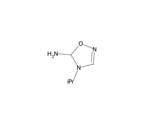 CC(C)N1C=NOC1N